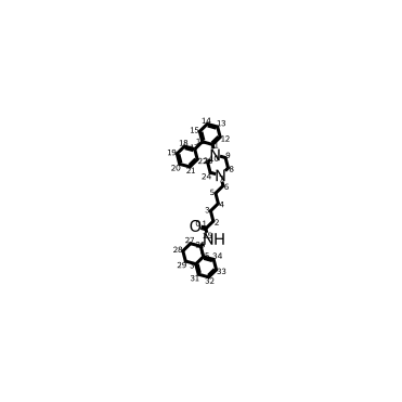 O=C(CCCCCN1CCN(c2ccccc2-c2ccccc2)CC1)NC1CCCc2ccccc21